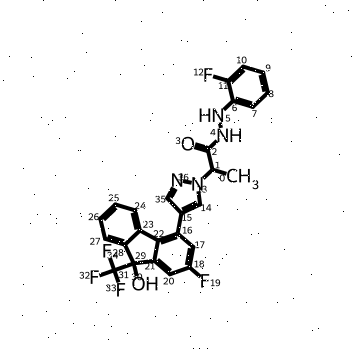 CC(C(=O)NNc1ccccc1F)n1cc(-c2cc(F)cc3c2-c2ccccc2C3(O)C(F)(F)F)cn1